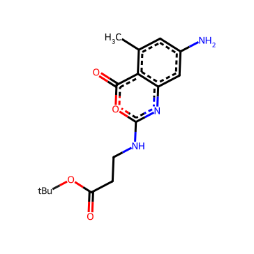 Cc1cc(N)cc2nc(NCCC(=O)OC(C)(C)C)oc(=O)c12